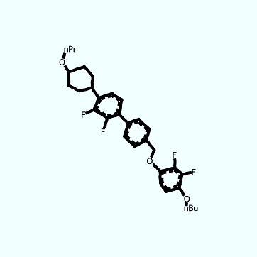 CCCCOc1ccc(OCc2ccc(-c3ccc(C4CCC(OCCC)CC4)c(F)c3F)cc2)c(F)c1F